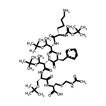 CC(=O)NCSC[C@H](NC(=O)[C@H](COC(C)(C)C)NC(=O)[C@@H](NC(=O)[C@H](Cc1ccccc1)NC(=O)[C@@H](NC(=O)[C@H](CCCCN)NC(=O)OC(C)(C)C)C(C)OC(C)(C)C)C(C)OC(C)(C)C)C(=O)O